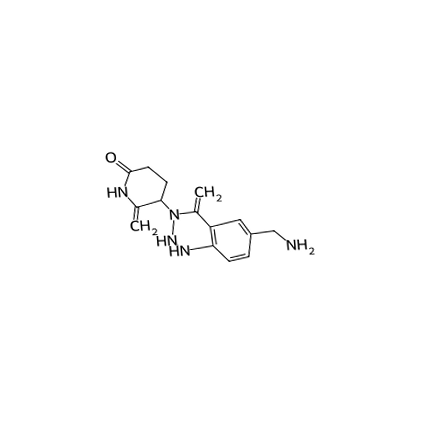 C=C1NC(=O)CCC1N1NNc2ccc(CN)cc2C1=C